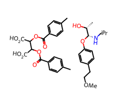 COCCc1ccc(O[C@@H](NC(C)C)[C@@H](C)O)cc1.Cc1ccc(C(=O)OC(C(=O)O)C(OC(=O)c2ccc(C)cc2)C(=O)O)cc1